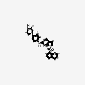 C[C@H]1CN(c2ccc(Nc3ncc4ccn(S(=O)(=O)c5cccc6cccnc56)c4n3)cc2F)CCN1